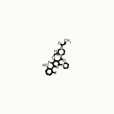 C=CC(=O)N1CCN2C(=O)c3c(N4CCCC4)nc(-c4c(O)cccc4F)c(F)c3OC[C@H]2C1